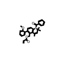 C=CC(=O)OCc1c(-c2ccccc2OC)ccc2c1C(C)=CC(C)(C)N2C(=O)c1ccccc1